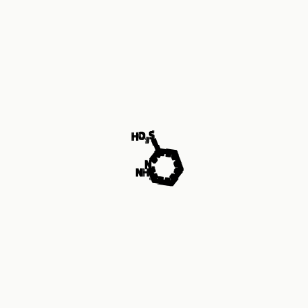 N.O=S(=O)(O)c1ccccn1